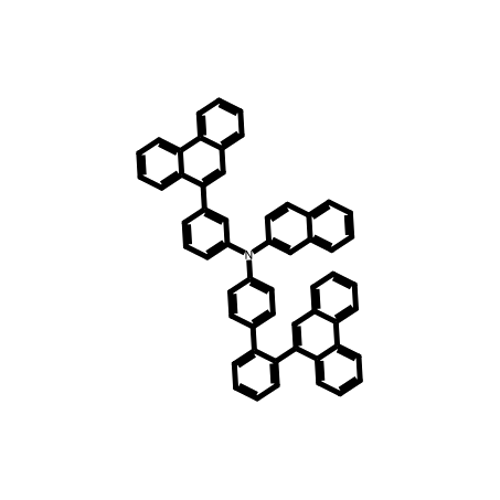 c1cc(-c2cc3ccccc3c3ccccc23)cc(N(c2ccc(-c3ccccc3-c3cc4ccccc4c4ccccc34)cc2)c2ccc3ccccc3c2)c1